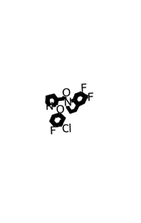 O=C(c1cccnc1Oc1ccc(F)c(Cl)c1)N1CCCc2cc(F)c(F)cc21